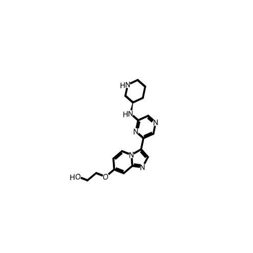 OCCOc1ccn2c(-c3cncc(N[C@@H]4CCCNC4)n3)cnc2c1